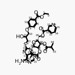 CCOC(=O)c1ccc(OCC(O)CSc2nc3c(N)ncnc3n2[C@@H]2O[C@H](COC(=O)c3cccnc3)[C@@H](OC(=O)C(C)C)[C@H]2OC(=O)C(C)C)cc1